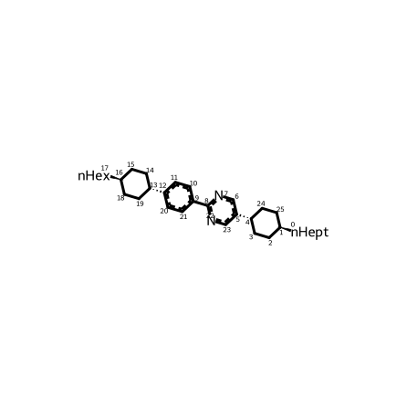 CCCCCCC[C@H]1CC[C@H](c2cnc(-c3ccc([C@H]4CC[C@H](CCCCCC)CC4)cc3)nc2)CC1